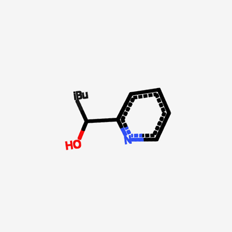 CCC(C)C(O)c1ccccn1